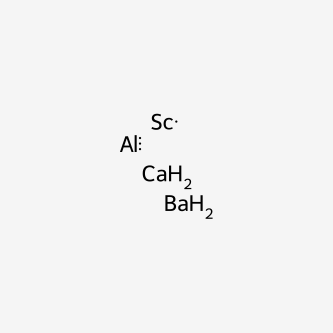 [Al].[BaH2].[CaH2].[Sc]